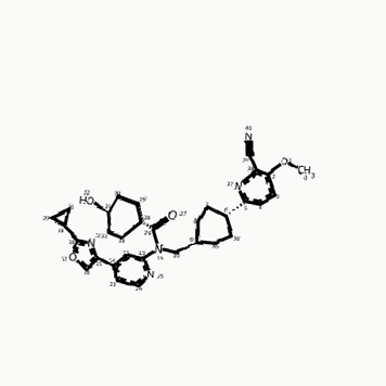 COc1ccc([C@H]2CC[C@H](CN(c3cc(-c4coc(C5CC5)n4)ccn3)C(=O)[C@H]3CC[C@H](O)CC3)CC2)nc1C#N